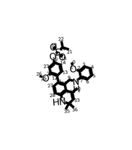 COc1ccccc1NCc1c(-c2ccc(OS(=O)(=O)C(C)C)cc2OC)ccc2c1C(C)=CC(C)(C)N2